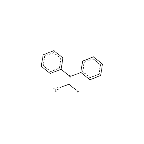 FCC(F)(F)F.c1ccc(Sc2ccccc2)cc1